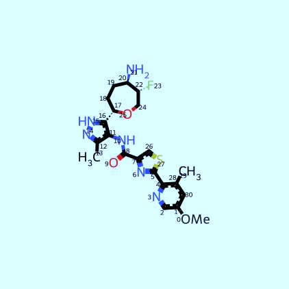 COc1cnc(-c2nc(C(=O)Nc3c(C)n[nH]c3[C@@H]3CC[C@@H](N)[C@H](F)CO3)cs2)c(C)c1